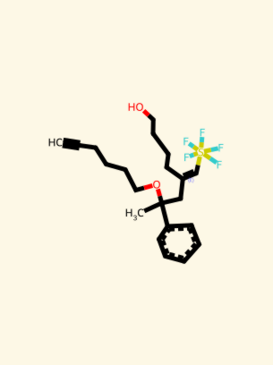 C#CCCCCOC(C)(C/C(=C/S(F)(F)(F)(F)F)CCCCO)c1ccccc1